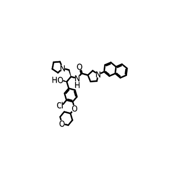 O=C(N[C@H](CN1CCCC1)[C@H](O)c1ccc(OC2CCOCC2)c(Cl)c1)C1CCN(c2ccc3ccccc3c2)C1